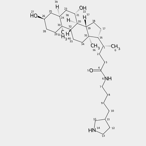 C[C@H](CCC(=O)NCCCCC1CCNC1)[C@H]1CC[C@H]2[C@@H]3[C@@H](O)C[C@@H]4C[C@H](O)CC[C@]4(C)[C@H]3CC[C@]12C